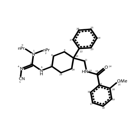 CCCN(CCC)/C(=N/C#N)NC1CCC(CNC(=O)c2ccccc2OC)(c2ccccc2)CC1